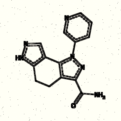 NC(=O)c1nn(-c2cccnc2)c2c1CCc1[nH]ncc1-2